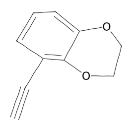 C#Cc1cccc2c1OCCO2